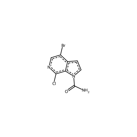 NC(=O)n1ccc2c(Br)cnc(Cl)c21